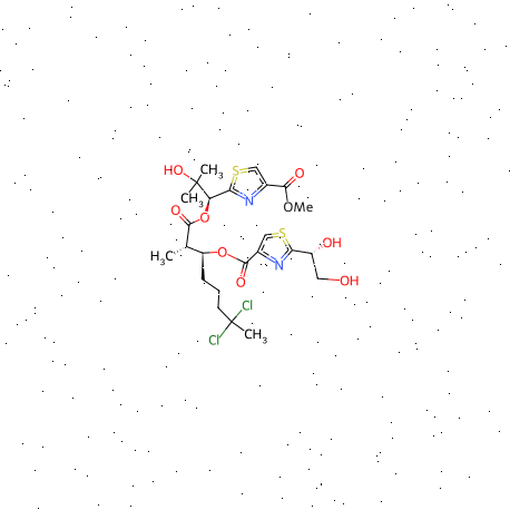 COC(=O)c1csc([C@@H](OC(=O)[C@@H](C)[C@H](CCCC(C)(Cl)Cl)OC(=O)c2csc([C@H](O)CO)n2)C(C)(C)O)n1